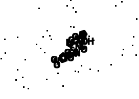 O=C(C1=C(O)C(=O)N(c2ncc(S(=O)(=O)c3ccc([N+](=O)[O-])cc3)s2)C1c1ccco1)c1ccco1